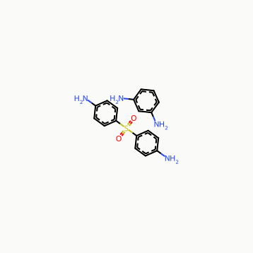 Nc1ccc(S(=O)(=O)c2ccc(N)cc2)cc1.Nc1cccc(N)c1